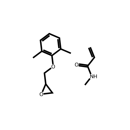 C=CC(=O)NC.Cc1cccc(C)c1OCC1CO1